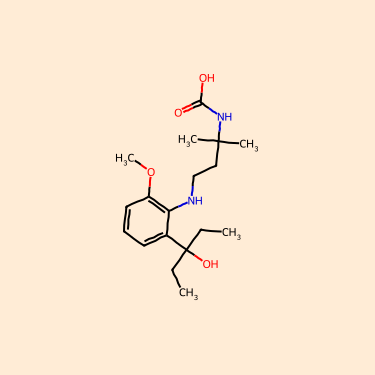 CCC(O)(CC)c1cccc(OC)c1NCCC(C)(C)NC(=O)O